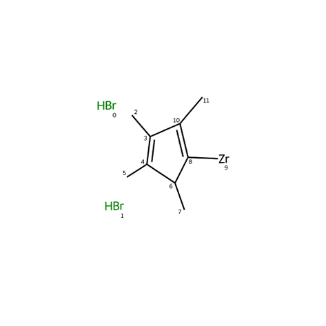 Br.Br.CC1=C(C)C(C)[C]([Zr])=C1C